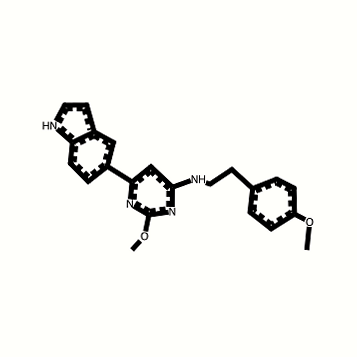 COc1ccc(CCNc2cc(-c3ccc4[nH]ccc4c3)nc(OC)n2)cc1